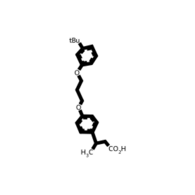 CC(CC(=O)O)c1ccc(OCCCOc2cccc(C(C)(C)C)c2)cc1